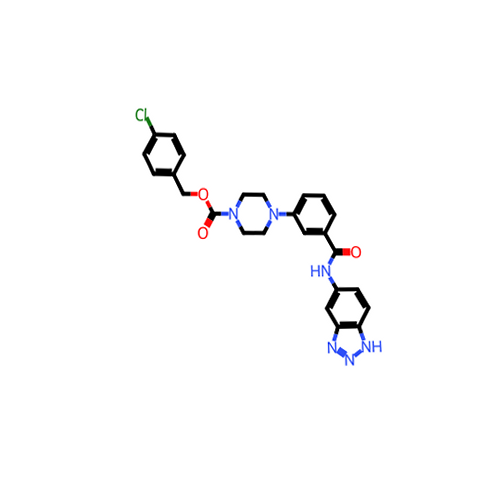 O=C(Nc1ccc2[nH]nnc2c1)c1cccc(N2CCN(C(=O)OCc3ccc(Cl)cc3)CC2)c1